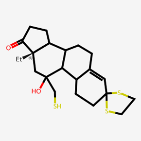 CC[C@]12CC(O)(CS)C3C4CCC5(C=C4CCC3C1CCC2=O)SCCS5